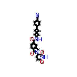 N#Cc1ccc(C2CC3(CC(NC(=O)c4ccc5c(c4)CN(C4CCC(=O)NC4=O)C5=O)C3)C2)cc1